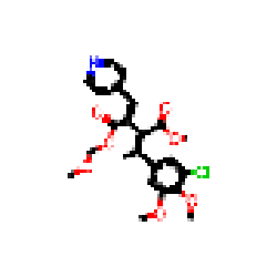 COCOC(=O)C(=Cc1ccncc1)C(C(=O)OC)=C(C)c1cc(Cl)c(OC)c(OC)c1